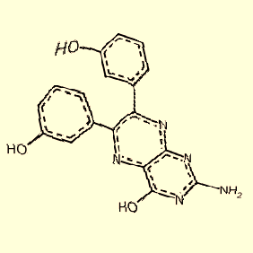 Nc1nc(O)c2nc(-c3cccc(O)c3)c(-c3cccc(O)c3)nc2n1